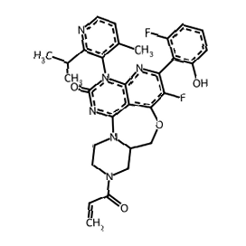 C=CC(=O)N1CCN2c3nc(=O)n(-c4c(C)ccnc4C(C)C)c4nc(-c5c(O)cccc5F)c(F)c(c34)OCC2C1